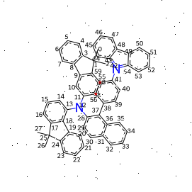 CC1(C)c2ccccc2-c2cc(N(c3cccc4c3-c3ccccc3C4(C)C)c3ccc4ccccc4c3-c3ccc(-n4c5ccccc5c5ccccc54)cc3)ccc21